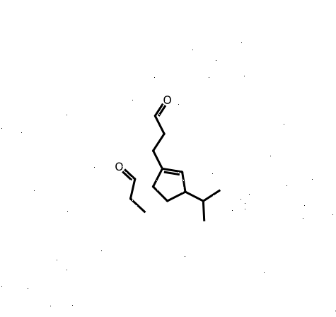 CC(C)C1C=C(CCC=O)CC1.CCC=O